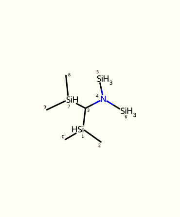 C[SiH](C)C(N([SiH3])[SiH3])[SiH](C)C